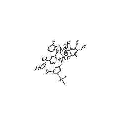 Cc1c(F)c(F)c(F)c(S(=O)(=O)N(CC(=O)N(Cc2cc(C3CC3)cc(C(C)(C)C)c2)c2ccc(C(=O)O)cc2C2CC2)Cc2ccccc2F)c1F